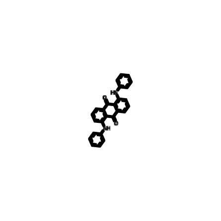 O=C1c2cccc(Nc3ccccc3)c2C(=O)c2cccc(Nc3ccccc3)c21